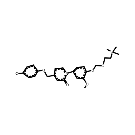 COc1cc(-n2ccc(COc3ccc(Cl)cc3)cc2=O)ccc1OCOCC[Si](C)(C)C